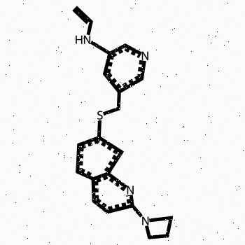 C=CNc1cncc(CSc2ccc3ccc(N4CCC4)nc3c2)c1